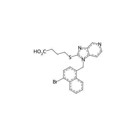 O=C(O)CCCSc1nc2cnccc2n1Cc1ccc(Br)c2ccccc12